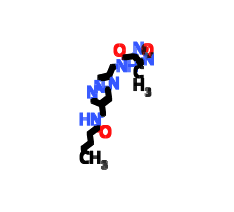 CCCCC(=O)NCc1cnn2cc(CNC(=O)c3nonc3C)nc2c1